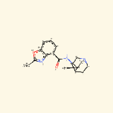 CSc1nc2c(C(=O)N[C@@H]3CN4CCC3CC4)cccc2o1